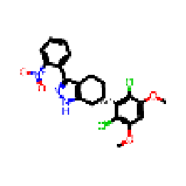 COc1cc(OC)c(Cl)c([C@H]2CCc3c(-c4ccccc4[N+](=O)[O-])n[nH]c3C2)c1Cl